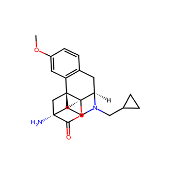 COc1ccc2c(c1)[C@]13CCN(CC4CC4)[C@H](C2)[C@]12CC[C@](N)(C3)C(=O)O2